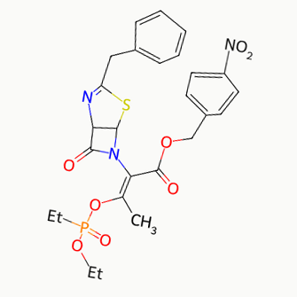 CCOP(=O)(CC)OC(C)=C(C(=O)OCc1ccc([N+](=O)[O-])cc1)N1C(=O)C2N=C(Cc3ccccc3)SC21